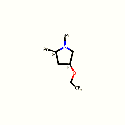 CC(C)[C@@H]1C[C@H](OCC(F)(F)F)CN1C(C)C